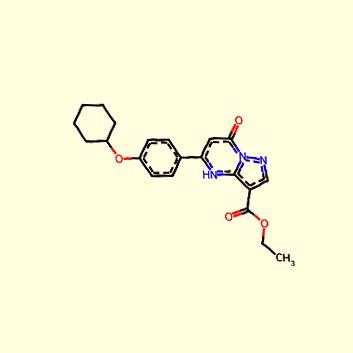 CCOC(=O)c1cnn2c(=O)cc(-c3ccc(OC4CCCCC4)cc3)[nH]c12